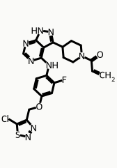 C=CC(=O)N1CCC(c2n[nH]c3ncnc(Nc4ccc(OCc5nnsc5Cl)cc4F)c23)CC1